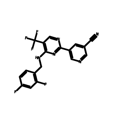 N#Cc1cncc(-c2ncc(C(F)(F)F)c(NCc3ccc(F)cc3F)n2)c1